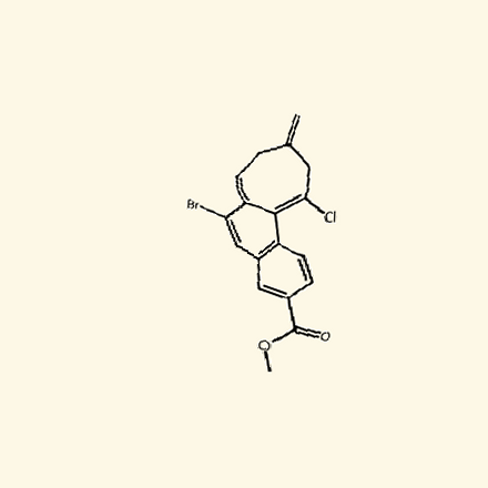 C=C1CC=c2c(Br)cc3cc(C(=O)OC)ccc3c2=C(Cl)C1